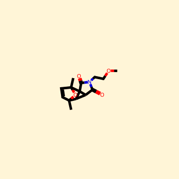 COCCN1C(=O)C2C3C4(C)C=CC(C)(O4)C23C1=O